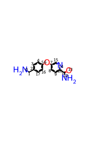 NCc1ccc(Oc2ccc(C(N)=O)nc2)cc1